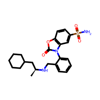 C[C@@H](CC1CCCCC1)NCc1ccccc1-n1c(=O)oc2ccc(S(N)(=O)=O)cc21